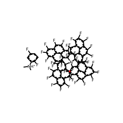 C[NH+](C)c1cc(F)ccc1F.Fc1c(F)c2c(F)c(F)c3c(F)c(F)[c]([Al-]([c]4c(F)c(F)c5c(F)c(F)c6c(F)c(F)c(F)c7c(F)c(F)c4c5c67)([c]4c(F)c(F)c5c(F)c(F)c6c(F)c(F)c(F)c7c(F)c(F)c4c5c67)[c]4c(F)c(F)c5c(F)c(F)c6c(F)c(F)c(F)c7c(F)c(F)c4c5c67)c4c(F)c(F)c(c1F)c2c34